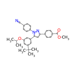 COC(=O)c1ccc(-c2cc(-c3cc(OC(C)C)cc(C(C)(C)C)c3)n(-c3ccc(C#N)cc3)n2)cc1